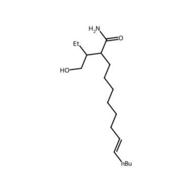 CCCCC=CCCCCCCC(C(N)=O)C(CC)CO